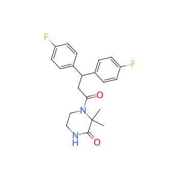 CC1(C)C(=O)NCCN1C(=O)CC(c1ccc(F)cc1)c1ccc(F)cc1